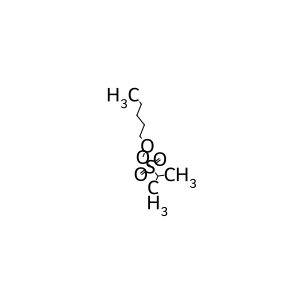 CCCCCOOS(=O)(=O)C(C)C